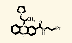 CC(C)CCNC(=O)c1ccc2c(c1)N(C(C)CN1CCCC1)c1ccccc1S2